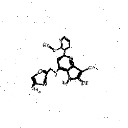 CCOc1ncccc1-c1cc(NCc2nc(C)co2)c2c(n1)c(C)c(CC)n2C(C)C